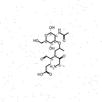 CC(=O)N[C@@H]1[C@@H](OC(C)CN(C(=O)[C@H](C)N)[C@@H]([C]=O)CCC(=O)O)[C@H](O)[C@@H](CO)O[C@@H]1O